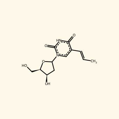 C/C=C/c1cn(C2C[C@@H](O)[C@@H](CO)O2)c(=O)[nH]c1=O